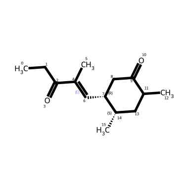 CCC(=O)/C(C)=C/[C@@H]1CC(=O)C(C)C[C@@H]1C